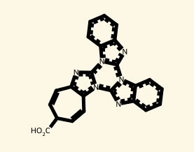 O=C(O)C1C=Cc2nc3n(c2C=C1)c1nc2ccccc2n1c1nc2ccccc2n31